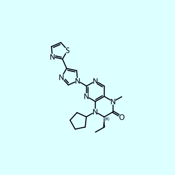 CC[C@@H]1C(=O)N(C)c2cnc(-n3cnc(-c4nccs4)c3)nc2N1C1CCCC1